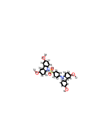 COc1ccc2c(c1)c1cc(OC)ccc1n2-c1ccc(S(=O)(=O)n2c3ccc(OC)cc3c3cc(OC)ccc32)cc1